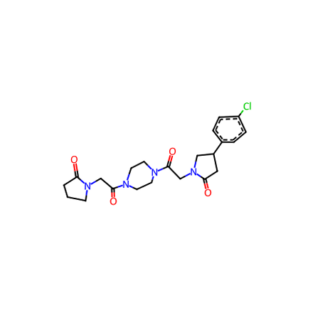 O=C(CN1CCCC1=O)N1CCN(C(=O)CN2CC(c3ccc(Cl)cc3)CC2=O)CC1